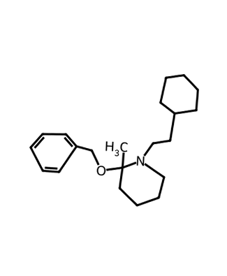 CC1(OCc2ccccc2)CCCCN1CCC1CCCCC1